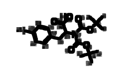 CC(C)(C)OC(=O)N(C(=O)OC(C)(C)C)C(Cc1ccc(I)cc1)C(=O)O